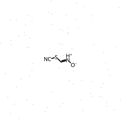 N#CSC=[NH+][O-]